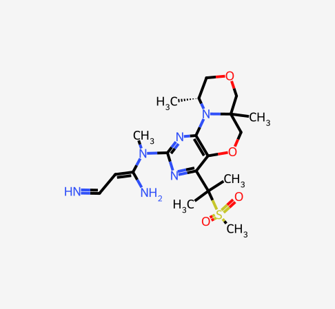 C[C@@H]1COCC2(C)COc3c(nc(N(C)/C(N)=C/C=N)nc3C(C)(C)S(C)(=O)=O)N12